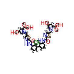 O=C(Nc1cccc(-c2cccc(NC(=O)c3ncc(CN4C[C@H](O)C[C@H]4C(=O)O)s3)c2Cl)c1Cl)c1ncc(CN2C[C@H](O)C[C@H]2C(=O)O)s1